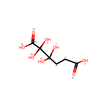 O=C(O)CCC(O)(O)C(O)(O)C(=O)O